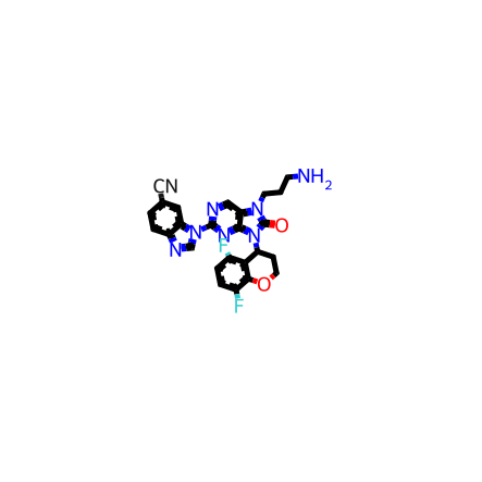 N#Cc1ccc2ncn(-c3ncc4c(n3)n(C3CCOc5c(F)ccc(F)c53)c(=O)n4CCCN)c2c1